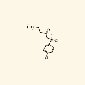 C[C@@](Cl)(OC(=O)CCC(=O)O)c1ccc(Cl)cc1